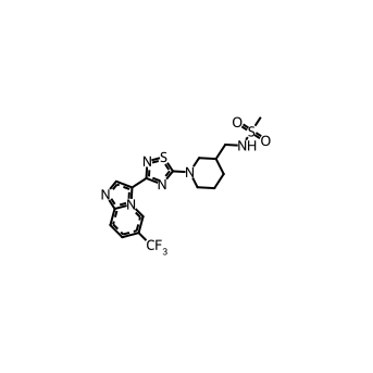 CS(=O)(=O)NCC1CCCN(c2nc(-c3cnc4ccc(C(F)(F)F)cn34)ns2)C1